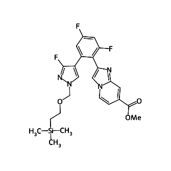 COC(=O)c1ccn2cc(-c3c(F)cc(F)cc3-c3cn(COCC[Si](C)(C)C)nc3F)nc2c1